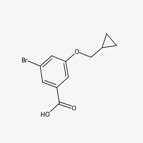 O=C(O)c1cc(Br)cc(OCC2CC2)c1